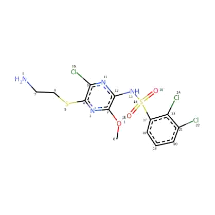 COc1nc(SCCN)c(Cl)nc1NS(=O)(=O)c1cccc(Cl)c1Cl